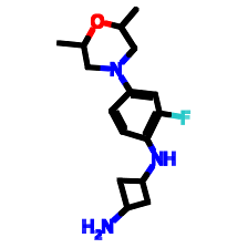 CC1CN(c2ccc(NC3CC(N)C3)c(F)c2)CC(C)O1